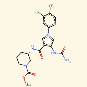 CC(C)(C)OC(=O)N1CCC[C@H](NC(=O)c2cn(-c3ccc(C(F)(F)F)c(Cl)c3)cc2NC(N)=O)C1